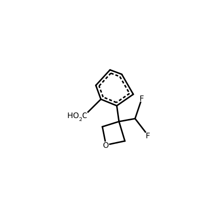 O=C(O)c1ccccc1C1(C(F)F)COC1